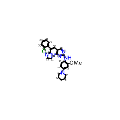 COc1cc(N2CCCCC2)ccc1Nc1ncc2c(n1)N1CCN=C1C(c1ccccc1Cl)=C2